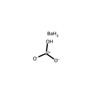 [BaH2].[O-][I+2]([O-])O